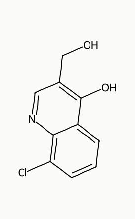 OCc1cnc2c(Cl)cccc2c1O